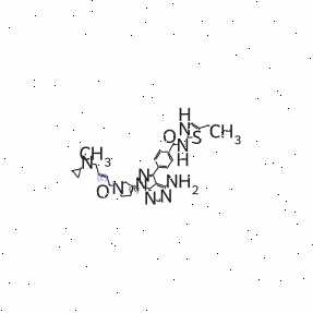 CCC1=CNC(NC(=O)c2ccc(-c3nn([C@@H]4CCN(C(=O)/C=C/CN(C)C5CC5)C4)c4ncnc(N)c34)cc2)S1